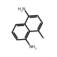 [CH2]c1ccc(N)c2cccc(N)c12